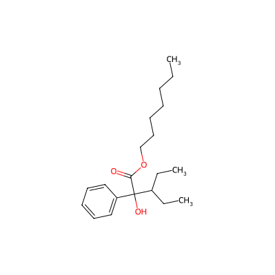 CCCCCCCOC(=O)C(O)(c1ccccc1)C(CC)CC